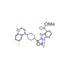 COC(=O)c1cccc2[nH]c([C@H](C)C3CCC(c4ccnc5ccc(F)cc45)CC3)nc12